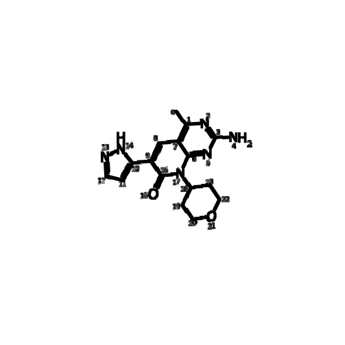 Cc1nc(N)nc2c1cc(-c1ccn[nH]1)c(=O)n2C1CCOCC1